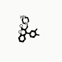 Cc1ccc(-c2c(CN3CCNCC3)c(=O)oc3ccccc23)cc1C